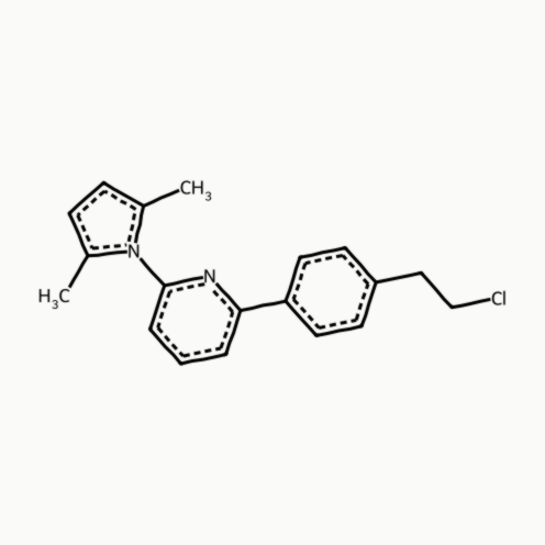 Cc1ccc(C)n1-c1cccc(-c2ccc(CCCl)cc2)n1